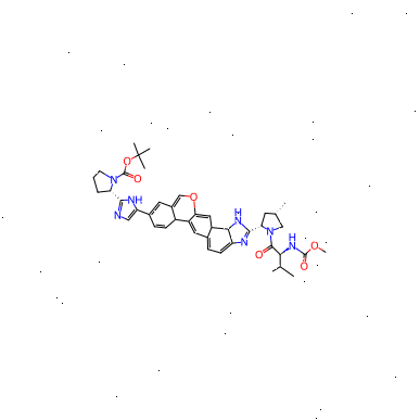 COC(=O)N[C@H](C(=O)N1C[C@@H](C)C[C@H]1C1=NC2=CC=C3C=C4C(=CC3C2N1)OC=C1C=C(c2cnc([C@@H]3CCCN3C(=O)OC(C)(C)C)[nH]2)C=CC14)C(C)C